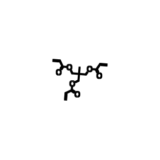 C=CC(=O)OCC(C)(COC(=O)C=C)COC(=O)C=C